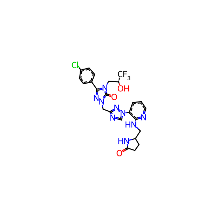 O=C1CCC(CNc2ncccc2-n2cnc(Cn3nc(-c4ccc(Cl)cc4)n(C[C@H](O)C(F)(F)F)c3=O)n2)N1